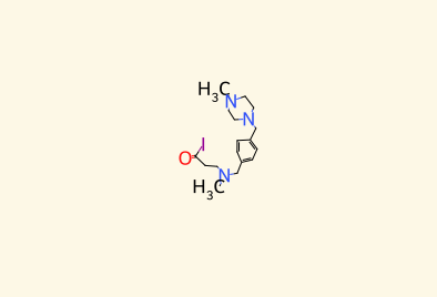 CN1CCN(Cc2ccc(CN(C)CCC(=O)I)cc2)CC1